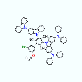 N#Cc1c(-c2cc(Br)cc(O[N+](=O)[O-])c2)c(C#N)c(-n2c3ccccc3c3cc(-n4c5ccccc5c5ccccc54)ccc32)c(C#N)c1-n1c2ccc(N(c3ccccc3)c3ccccc3)cc2c2cc(N(c3ccccc3)c3ccccc3)ccc21